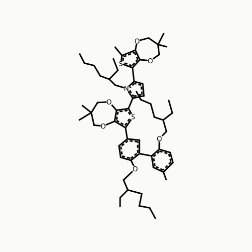 CCCCC(CC)COc1ccc(C)cc1-c1cc(-c2sc(-c3ccc(-c4sc(C)c5c4OCC(C)(C)CO5)n3CC(CC)CCCC)c3c2OCC(C)(C)CO3)ccc1OCC(CC)CCCC